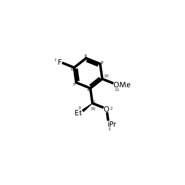 CC[C@H](OC(C)C)c1cc(F)ccc1OC